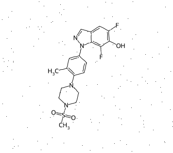 Cc1cc(-n2ncc3cc(F)c(O)c(F)c32)ccc1N1CCN(S(C)(=O)=O)CC1